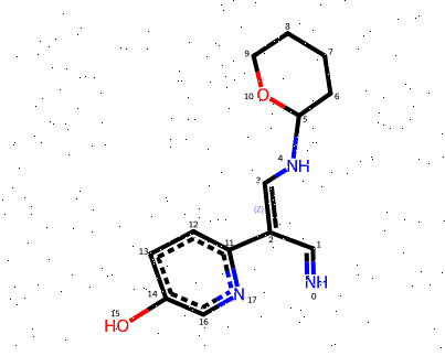 N=C/C(=C\NC1CCCCO1)c1ccc(O)cn1